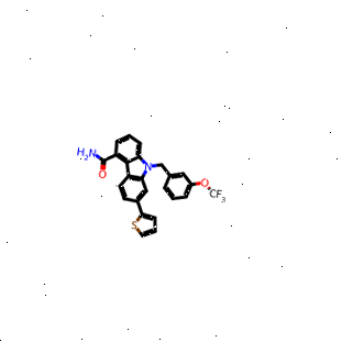 NC(=O)c1cccc2c1c1[c]cc(-c3cccs3)cc1n2Cc1cccc(OC(F)(F)F)c1